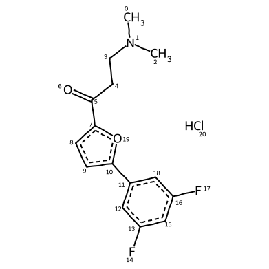 CN(C)CCC(=O)c1ccc(-c2cc(F)cc(F)c2)o1.Cl